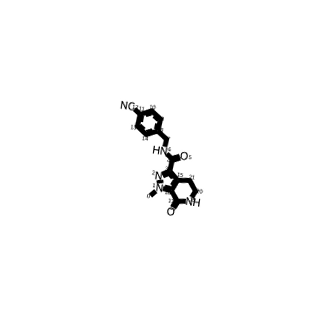 Cn1nc(C(=O)NCc2ccc(C#N)cc2)c2c1C(=O)NCC2